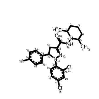 CC1CCCC(C)N1NC(=O)C1=NN(c2ccc(Cl)cc2Cl)C(c2ccc(I)cc2)C1